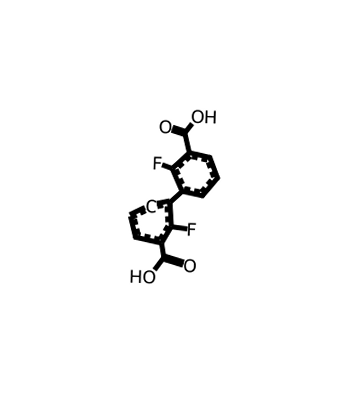 O=C(O)c1cccc(-c2cccc(C(=O)O)c2F)c1F